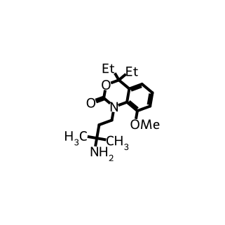 CCC1(CC)OC(=O)N(CCC(C)(C)N)c2c(OC)cccc21